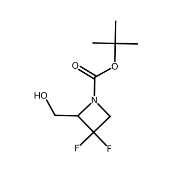 CC(C)(C)OC(=O)N1CC(F)(F)C1CO